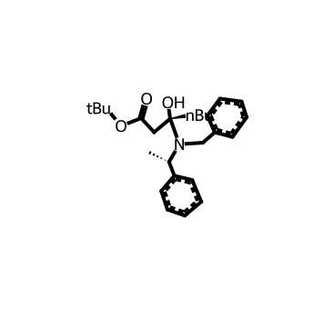 CCCC[C@](O)(CC(=O)OC(C)(C)C)N(Cc1ccccc1)[C@@H](C)c1ccccc1